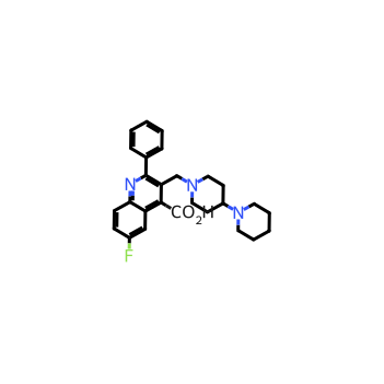 O=C(O)c1c(CN2CCC(N3CCCCC3)CC2)c(-c2ccccc2)nc2ccc(F)cc12